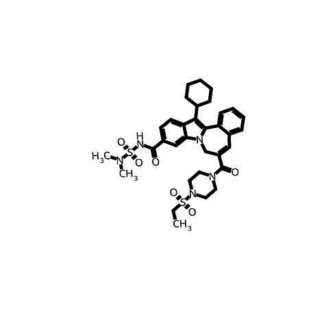 CCS(=O)(=O)N1CCN(C(=O)C2=Cc3ccccc3-c3c(C4CCCCC4)c4ccc(C(=O)NS(=O)(=O)N(C)C)cc4n3C2)CC1